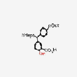 CCCCCCCCc1ccc(C(CCCCCCC)c2ccc(O)c(C(=O)O)c2)cc1